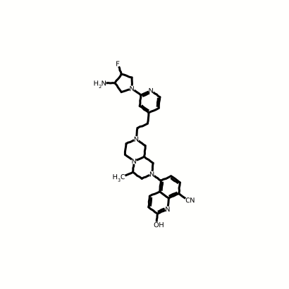 CC1CN(c2ccc(C#N)c3nc(O)ccc23)CC2CN(CCc3ccnc(N4CC(N)C(F)C4)c3)CCN12